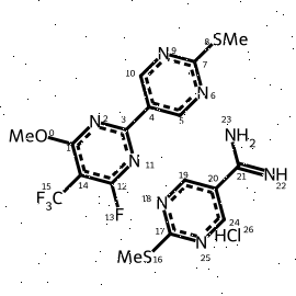 COc1nc(-c2cnc(SC)nc2)nc(F)c1C(F)(F)F.CSc1ncc(C(=N)N)cn1.Cl